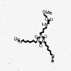 COCCOC(=O)CNCCCCn1c(=O)n(CCCCCCN=C=O)c(=O)n(CCCCCCN=C=O)c1=O